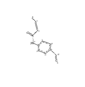 C=C(/C=C\C)Nc1ccc(C=O)cc1